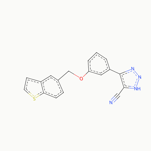 N#Cc1[nH]nnc1-c1cccc(OCc2ccc3sccc3c2)c1